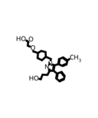 Cc1ccc(-c2c(-c3ccccc3)c(CCCO)nn2CC2CCC(COCC(=O)O)CC2)cc1